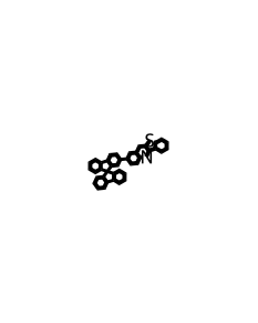 c1ccc2c(c1)-c1ccccc1C21c2ccccc2-c2ccc(-c3ccc4nc5c(cc4c3)sc3ccccc35)cc21